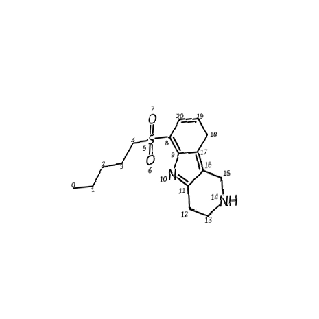 CCCCCS(=O)(=O)C1=C2N=C3CCNCC3=C2CC=C1